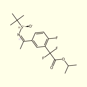 C/C(=N/[S@+]([O-])C(C)(C)C)c1ccc(F)c(C(F)(F)C(=O)OC(C)C)c1